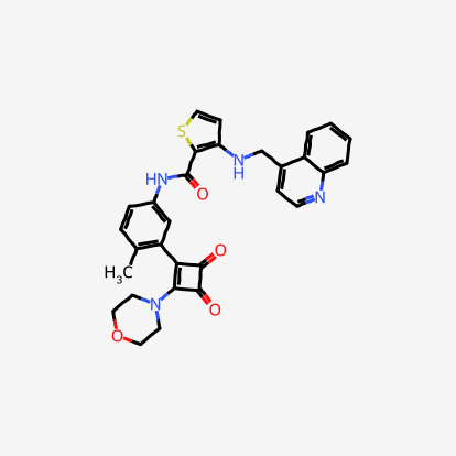 Cc1ccc(NC(=O)c2sccc2NCc2ccnc3ccccc23)cc1-c1c(N2CCOCC2)c(=O)c1=O